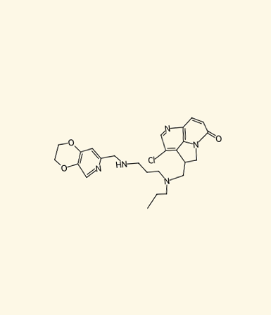 CCCN(CCCNCc1cc2c(cn1)OCCO2)CC1Cn2c(=O)ccc3ncc(Cl)c1c32